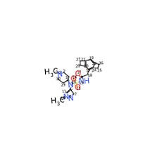 CN1CCC(N(c2cnn(C)c2)S(=O)(=O)NC(=O)Cc2c3c(cc4c2CC4)CC3)CC1